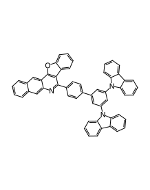 c1ccc2cc3c(cc2c1)nc(-c1ccc(-c2cc(-n4c5ccccc5c5ccccc54)cc(-n4c5ccccc5c5ccccc54)c2)cc1)c1c2ccccc2oc31